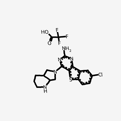 Nc1nc(N2CC3CCCNC3C2)c2sc3ccc(Cl)cc3c2n1.O=C(O)C(F)(F)F